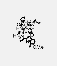 C=C[C@@H]1C[C@]1(NC(=O)[C@@H]1C[C@@H](Oc2cc(-c3csc(NC(C)C)n3)nc3c(Br)c(OC)ccc23)CN1C(=O)[C@@H](NC(=O)OC1CCCC1)C(C)(C)C)C(=O)O